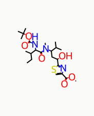 CCC(C)C(NC(=O)OC(C)(C)C)C(=O)N(C)C(CC(O)c1nc(C(=O)OC)cs1)C(C)C